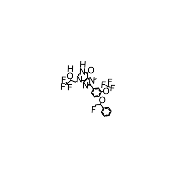 Cn1c(-c2ccc(OC(CF)c3ccccc3)c(OC(F)(F)F)c2)nc2c1C(=O)NCN2CC(O)C(F)(F)F